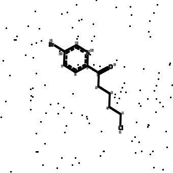 O=C(CCCCCl)c1ccc(Br)cn1